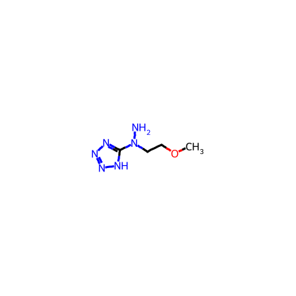 COCCN(N)c1nnn[nH]1